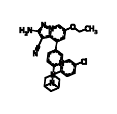 CCOc1cc(-c2ccc(N3CC4CC(C3)N4Cc3ccc(Cl)cn3)nc2)c2c(C#N)c(N)nn2c1